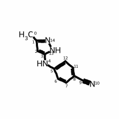 Cc1cc(Nc2ccc(C#N)cc2)[nH]n1